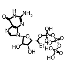 CCC(OP(=O)(O)OP(=O)(O)OP(=O)(O)O)[C@H]1O[C@@H](n2cnc3c(=O)[nH]c(N)nc32)[C@H](O)[C@@H]1O